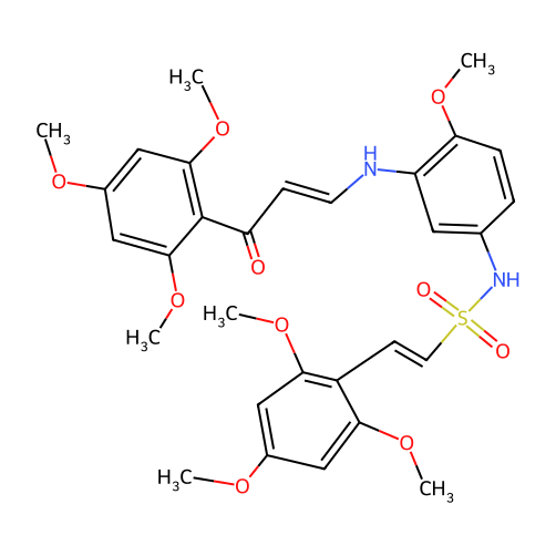 COc1cc(OC)c(C=CS(=O)(=O)Nc2ccc(OC)c(NC=CC(=O)c3c(OC)cc(OC)cc3OC)c2)c(OC)c1